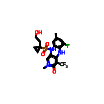 Cc1ccc(Nc2c(NS(=O)(=O)C3(CCO)CC3)cn(C)c(=O)c2C(F)(F)F)c(F)c1